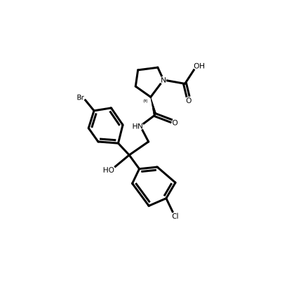 O=C(NCC(O)(c1ccc(Cl)cc1)c1ccc(Br)cc1)[C@H]1CCCN1C(=O)O